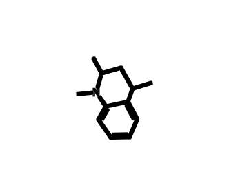 CC1CC(C)N(C)c2ccccc21